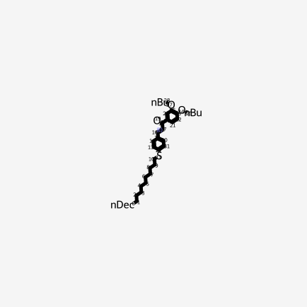 CCCCCCCCCCCCCCCCCCCCSc1ccc(/C=C/C(=O)c2ccc(OCCCC)c(OCCCC)c2)cc1